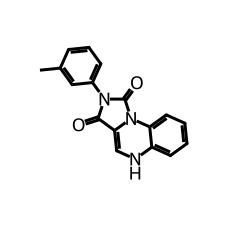 Cc1cccc(-n2c(=O)c3c[nH]c4ccccc4n-3c2=O)c1